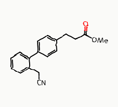 COC(=O)CCc1ccc(-c2ccccc2CC#N)cc1